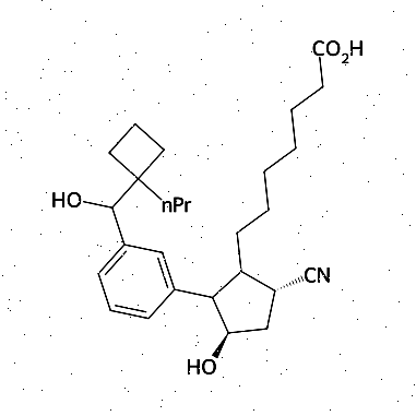 CCCC1(C(O)c2cccc(C3C(CCCCCCC(=O)O)[C@H](C#N)C[C@H]3O)c2)CCC1